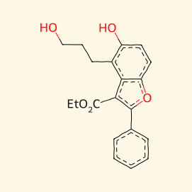 CCOC(=O)c1c(-c2ccccc2)oc2ccc(O)c(CCCO)c12